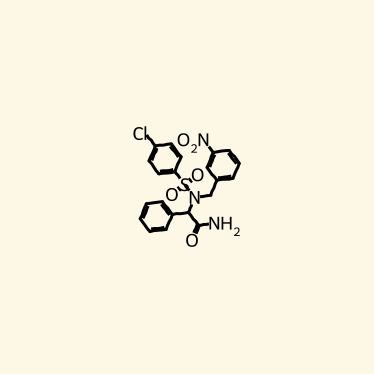 NC(=O)C(c1ccccc1)N(Cc1cccc([N+](=O)[O-])c1)S(=O)(=O)c1ccc(Cl)cc1